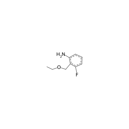 CCOCc1c(N)cccc1F